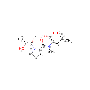 CC(C)C[C@H](C(=O)O)N(C)C(=O)C1CCCN1C(=O)[C@H](C)O